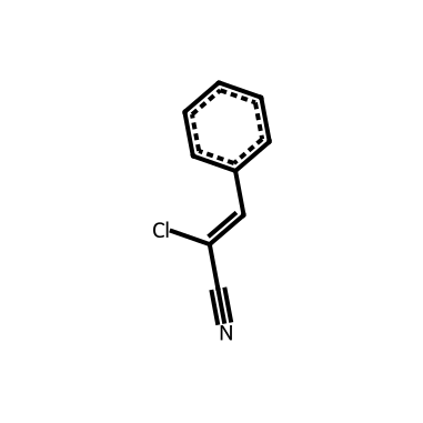 N#CC(Cl)=Cc1ccccc1